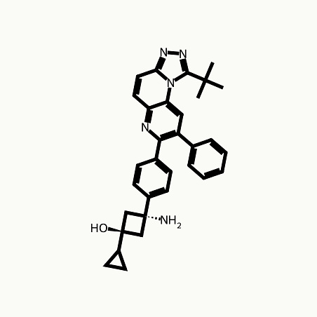 CC(C)(C)c1nnc2ccc3nc(-c4ccc([C@]5(N)C[C@@](O)(C6CC6)C5)cc4)c(-c4ccccc4)cc3n12